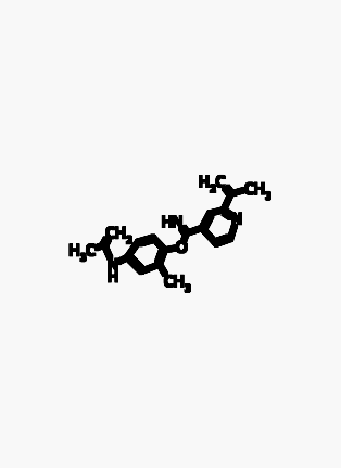 C=C(C)Nc1ccc(OC(=N)c2ccnc(C(=C)C)c2)c(C)c1